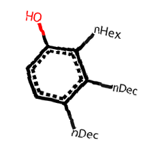 CCCCCCCCCCc1ccc(O)c(CCCCCC)c1CCCCCCCCCC